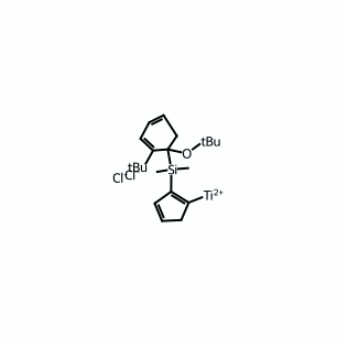 CC(C)(C)OC1([Si](C)(C)C2=[C]([Ti+2])CC=C2)CC=CC=C1C(C)(C)C.[Cl-].[Cl-]